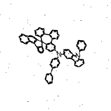 c1ccc(-c2ccc(N(c3ccc4c(c3)-c3ccccc3-c3ccccc3C43c4ccccc4-c4c3ccc3ccccc43)c3ccc4c(c3)c3ccccc3n4-c3ccccc3)cc2)cc1